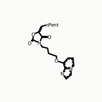 CCCCCC=C1OC(=O)N(CCCCOc2cccn3ccnc23)C1=O